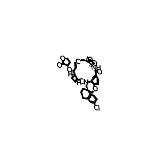 C[C@@H]1CC/C=C/[C@H](O[C@H]2CCOC2=O)[C@@H]2CC[C@H]2CN2C[C@@]3(CCCc4cc(Cl)ccc43)COc3ccc(cc32)C(=O)NS1(=O)=O